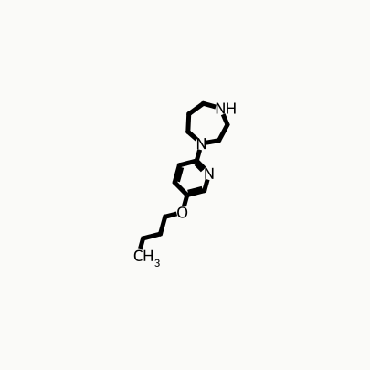 CCCCOc1ccc(N2CCCNCC2)nc1